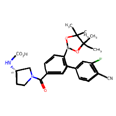 CC1(C)OB(c2ccc(C(=O)N3CC[C@H](NC(=O)O)C3)cc2-c2ccc(C#N)c(F)c2)OC1(C)C